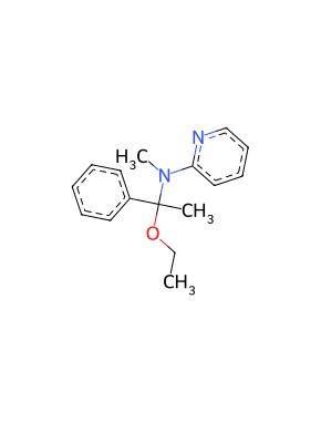 CCOC(C)(c1ccccc1)N(C)c1ccccn1